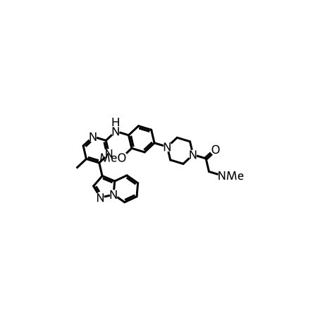 CNCC(=O)N1CCN(c2ccc(Nc3ncc(C)c(-c4cnn5ccccc45)n3)c(OC)c2)CC1